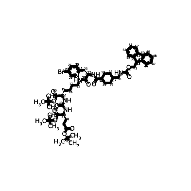 CC(C)(C)OC(=O)CC[C@H](NC(=O)N[C@@H](CCCCNC(=O)[C@H](Cc1ccc(Br)cn1)NC(=O)C1CCC(CNC(=O)OCC2c3ccccc3-c3ccccc32)CC1)C(=O)OC(C)(C)C)C(=O)OC(C)(C)C